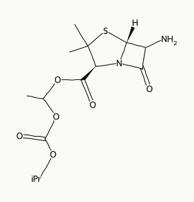 CC(C)OC(=O)OC(C)OC(=O)[C@@H]1N2C(=O)C(N)[C@H]2SC1(C)C